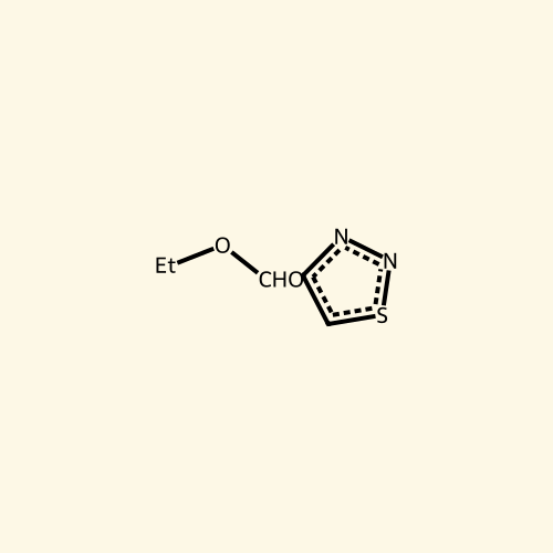 CCOC=O.c1csnn1